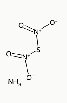 N.O=[N+]([O-])S[N+](=O)[O-]